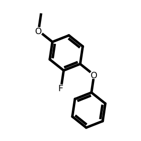 COc1ccc(Oc2ccccc2)c(F)c1